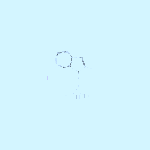 CCCC1=C(C)c2ccccc2[CH]1[Zr+2][SiH](CC)CC.[I-].[I-]